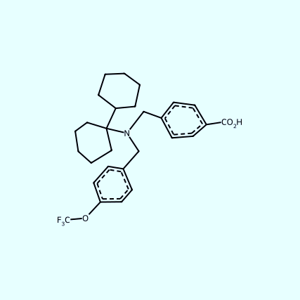 O=C(O)c1ccc(CN(Cc2ccc(OC(F)(F)F)cc2)C2(C3CCCCC3)CCCCC2)cc1